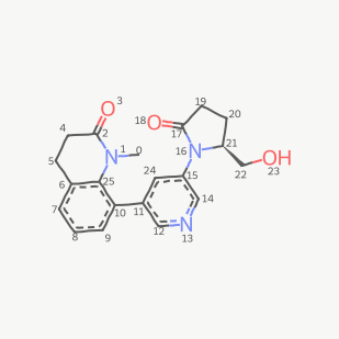 CN1C(=O)CCc2cccc(-c3cncc(N4C(=O)CC[C@H]4CO)c3)c21